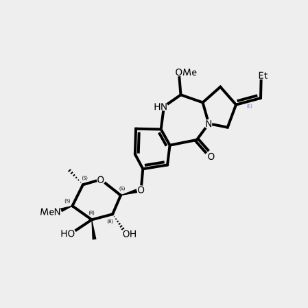 CC/C=C1\CC2C(OC)Nc3ccc(O[C@@H]4O[C@@H](C)[C@H](NC)[C@@](C)(O)[C@H]4O)cc3C(=O)N2C1